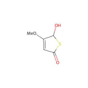 COC1=CC(=O)SC1O